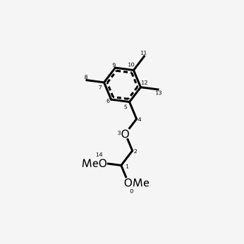 COC(COCc1cc(C)cc(C)c1C)OC